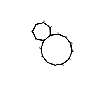 C1CCCCCC2CCCCCC2CCCC1